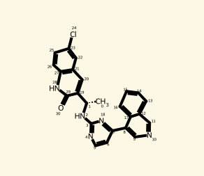 C[C@H](Nc1nccc(-c2cncc3ccccc23)n1)c1cc2cc(Cl)ccc2[nH]c1=O